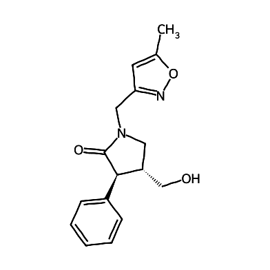 Cc1cc(CN2C[C@H](CO)[C@@H](c3ccccc3)C2=O)no1